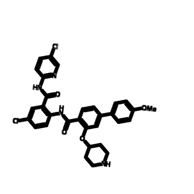 COc1ccc(-c2ccc(C(=O)Nc3ccc(Cl)cc3C(=O)Nc3ccc(Cl)cn3)c(OC3CCNCC3)c2)cc1